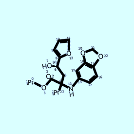 CC(C)OC(=O)C(C[C@@H](O)c1ccco1)(Nc1ccc2c(c1)OCO2)C(C)C